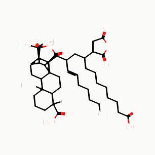 CCCCC/C=C/C(CC(CCCCCCCC(=O)O)C1CC(=O)OC1=O)CC1C(C(C)C)C2CC3C4(C)CCCC(C)(C(=O)O)C4CCC13C1C(=O)OC(=O)C21